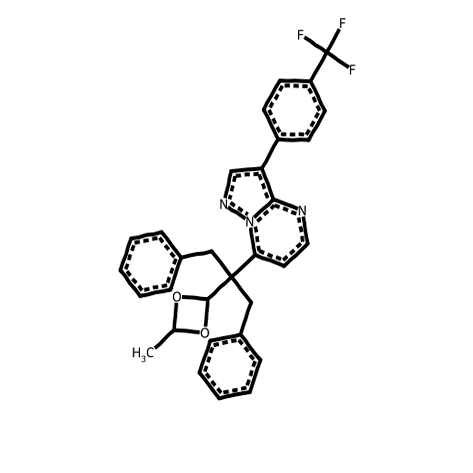 CC1OC(C(Cc2ccccc2)(Cc2ccccc2)c2ccnc3c(-c4ccc(C(F)(F)F)cc4)cnn23)O1